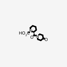 O=C1CCN(C(=O)[C@@H]2CCCCN2C(=O)O)CC1